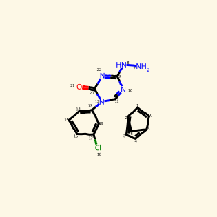 C1=CC2=CC=C1C2.NNc1ncn(-c2cccc(Cl)c2)c(=O)n1